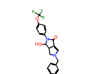 O=C1C2=CN(Cc3ccccc3)CC2C(O)N1c1ccc(OC(F)(F)F)cc1